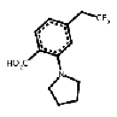 O=C(O)c1ccc(CC(F)(F)F)cc1N1CCCC1